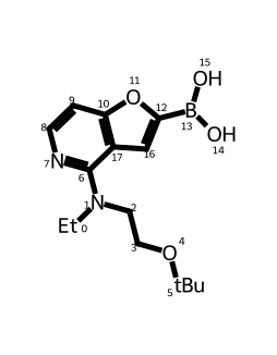 CCN(CCOC(C)(C)C)c1nccc2oc(B(O)O)cc12